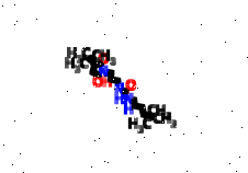 CC(C)(C)CCCCNC(=O)NCCCN1C(=O)C(C(C)(C)C)CC1O